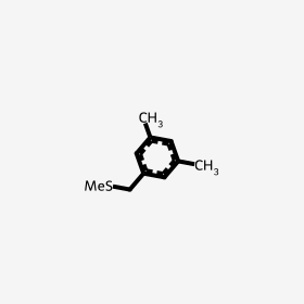 [CH2]SCc1cc(C)cc(C)c1